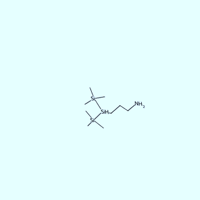 C[Si](C)(C)[SiH](CCCN)[Si](C)(C)C